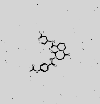 CC(=O)Oc1ccc(C(=O)NN2CCC(=O)N3CCCC(C(=O)NC(C=O)CC(=O)O)N3C2=O)cc1